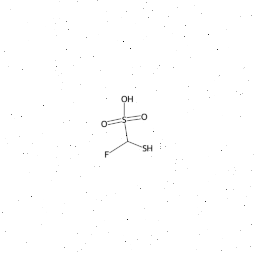 O=S(=O)(O)C(F)S